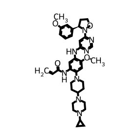 C=CC(=O)Nc1cc(Nc2cc(N3OCC[C@@H]3c3cccc(OC)c3)ncn2)c(OC)cc1N1CCC(N2CCN(C3CC3)CC2)CC1